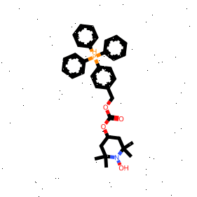 CC1(C)CC(OC(=O)OCc2ccc([PH](c3ccccc3)(c3ccccc3)c3ccccc3)cc2)CC(C)(C)N1O